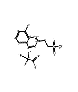 O=C([O-])C(F)(F)F.O=S(=O)(O)CC[n+]1ccc2cccc(I)c2n1